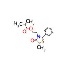 C=C(C)C(=O)OCCN1C(=O)C(C)SC1c1ccccc1